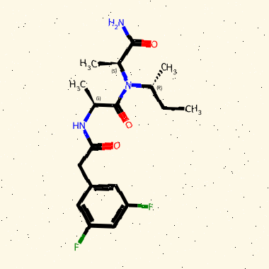 CC[C@@H](C)N(C(=O)[C@H](C)NC(=O)Cc1cc(F)cc(F)c1)[C@@H](C)C(N)=O